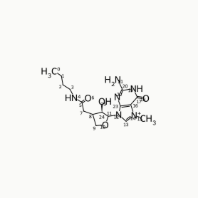 CCCCNC(=O)CC1COC(n2c[n+](C)c3c(=O)[nH]c(N)nc32)[C@@H]1O